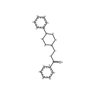 O=C(CCC1CCC(c2ccccc2)CC1)c1ccccc1